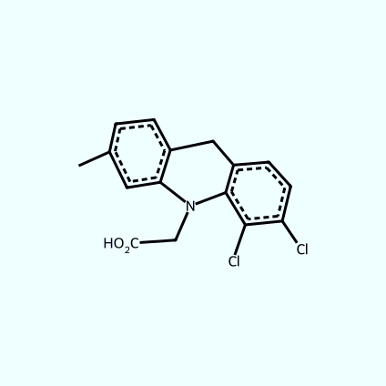 Cc1ccc2c(c1)N(CC(=O)O)c1c(ccc(Cl)c1Cl)C2